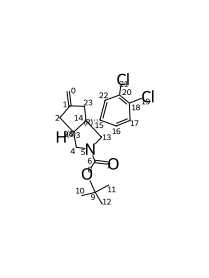 C=C1C[C@@H]2CN(C(=O)OC(C)(C)C)C[C@]2(c2ccc(Cl)c(Cl)c2)C1